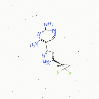 Nc1ncc(-c2cc([C@H]3CC3(F)F)[nH]n2)c(N)n1